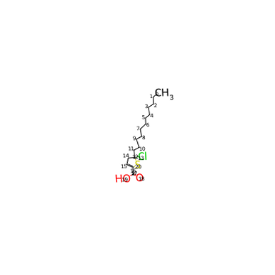 CCCCCCCCCCCCC1(Cl)CC=C(C(=O)O)S1